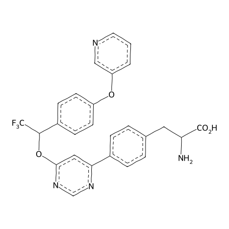 NC(Cc1ccc(-c2cc(OC(c3ccc(Oc4cccnc4)cc3)C(F)(F)F)ncn2)cc1)C(=O)O